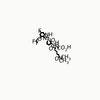 CN(C)C(=O)C=CCCC(NC(=O)O)C(=O)Nc1cccn(Cc2nc3c(OCC(F)F)cc(F)cc3[nH]2)c1=O